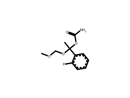 COCOC(C)(OC(N)=O)c1ccccc1F